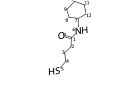 O=C(CCCS)NC1CCCCC1